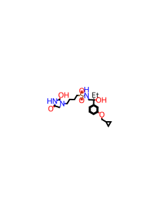 CC[C@@](O)(CNS(=O)(=O)CCCCN1CC(=O)NC1O)c1cccc(OCC2CC2)c1